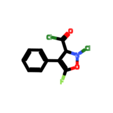 O=C(Cl)C1C(c2ccccc2)=C(F)ON1Cl